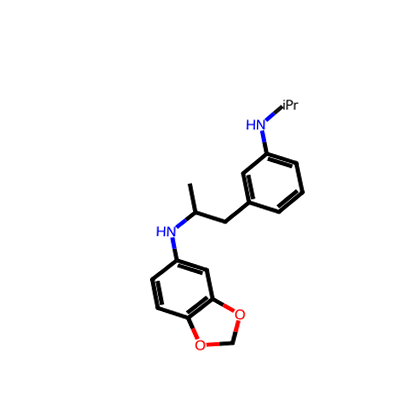 CC(C)Nc1cccc(CC(C)Nc2ccc3c(c2)OCO3)c1